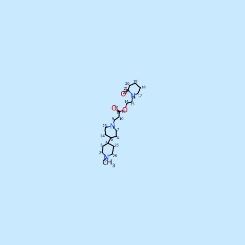 CN1CCC(C2CCN(CCC(=O)OCCN3CCCCC3=O)CC2)CC1